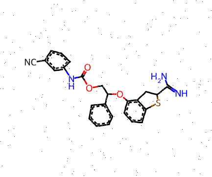 N#Cc1cccc(NC(=O)OCC(Oc2cccc3c2CC(C(=N)N)S3)c2ccccc2)c1